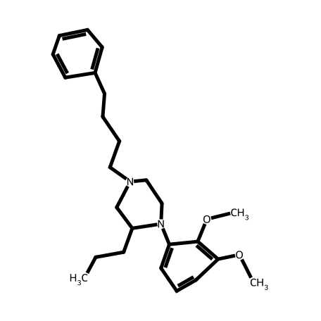 CCCC1CN(CCCCc2ccccc2)CCN1c1cccc(OC)c1OC